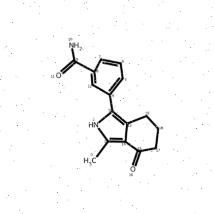 Cc1[nH]c(-c2cccc(C(N)=O)c2)c2c1C(=O)CCC2